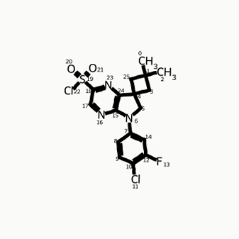 CC1(C)CC2(CN(c3ccc(Cl)c(F)c3)c3ncc(S(=O)(=O)Cl)nc32)C1